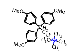 COc1ccc([B-](C)(c2ccc(OC)cc2)c2ccc(OC)cc2)cc1.C[N+](C)(C)C.[Li+]